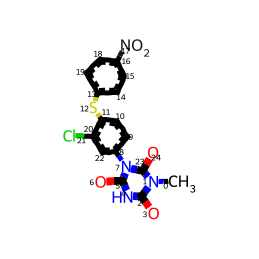 Cn1c(=O)[nH]c(=O)n(-c2ccc(Sc3ccc([N+](=O)[O-])cc3)c(Cl)c2)c1=O